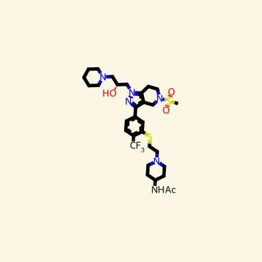 CC(=O)NC1CCN(CCSc2cc(-c3nn(C[C@H](O)CN4CCCCC4)c4c3CN(S(C)(=O)=O)CC4)ccc2C(F)(F)F)CC1